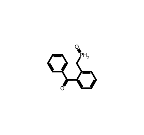 O=[PH2]Cc1ccccc1C(=O)c1ccccc1